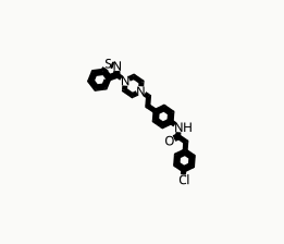 O=C(Cc1ccc(Cl)cc1)Nc1ccc(CCN2CCN(c3nsc4ccccc34)CC2)cc1